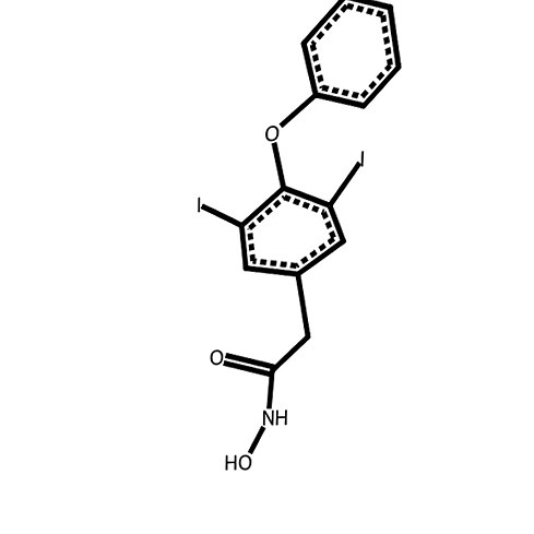 O=C(Cc1cc(I)c(Oc2ccccc2)c(I)c1)NO